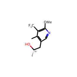 COc1ncc(C[C@H](C)O)c(C)c1C(F)(F)F